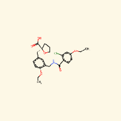 CCOc1ccc(C(=O)NCc2cc(C[C@]3(C(=O)O)CCCO3)ccc2OCC)c(Cl)c1